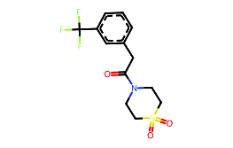 O=C(Cc1cccc(C(F)(F)F)c1)N1CCS(=O)(=O)CC1